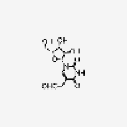 O=CCc1cn([C@@H]2O[C@H](CO)[C@@H](O)[C@H]2O)c(=O)[nH]c1=O